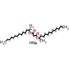 CCCCCCCCCCCCC(C)OC(=O)CC(=O)OC(C)CCCCCCCCCCCC.[NaH]